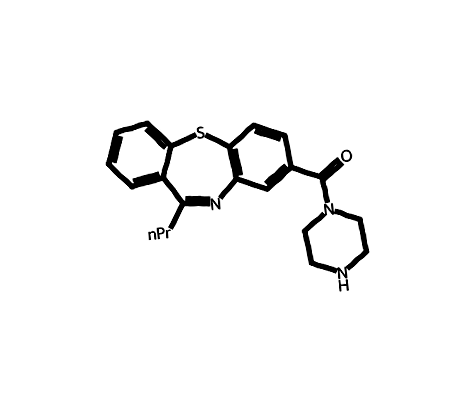 CCCC1=Nc2cc(C(=O)N3CCNCC3)ccc2Sc2ccccc21